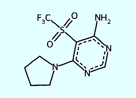 Nc1ncnc(N2CCCC2)c1S(=O)(=O)C(F)(F)F